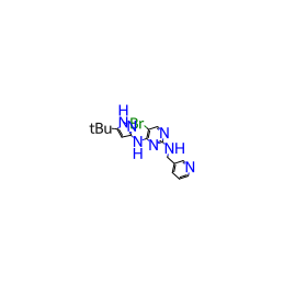 CC(C)(C)c1cc(Nc2nc(NCc3cccnc3)ncc2Br)n[nH]1